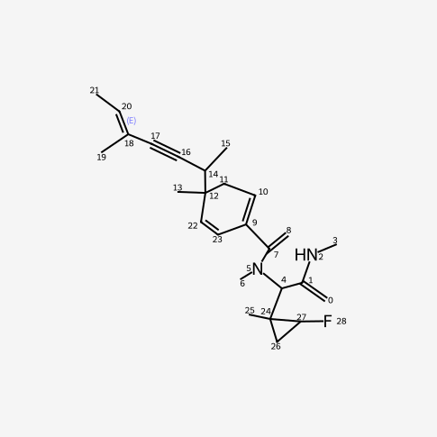 C=C(NC)C(N(C)C(=C)C1=CCC(C)(C(C)C#C/C(C)=C/C)C=C1)C1(C)CC1F